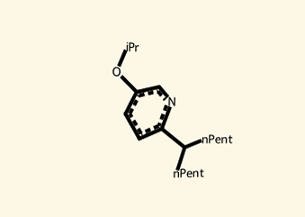 CCCCCC(CCCCC)c1ccc(OC(C)C)cn1